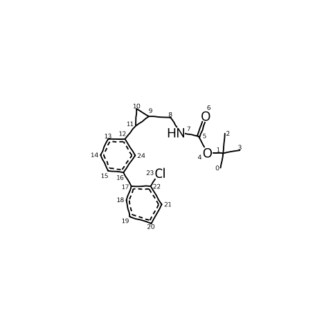 CC(C)(C)OC(=O)NCC1CC1c1cccc(-c2ccccc2Cl)c1